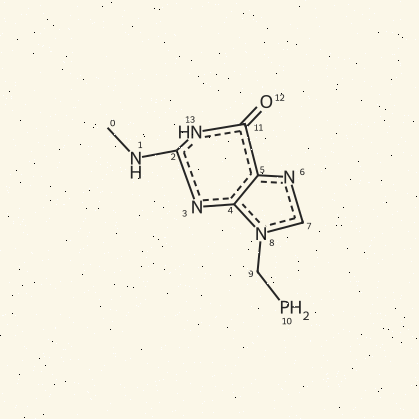 CNc1nc2c(ncn2CP)c(=O)[nH]1